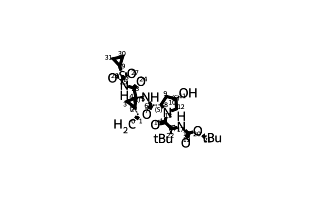 C=C[C@@H]1C[C@]1(NC(=O)[C@@H]1C[C@H](O)CN1C(=O)[C@@H](NC(=O)OC(C)(C)C)C(C)(C)C)C(=O)NS(=O)(=O)C1CC1